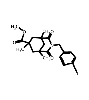 COC(=O)C1(C)CC2(C)CC(C)(C1)C(=O)N(Cc1ccc(I)cc1)C2=O